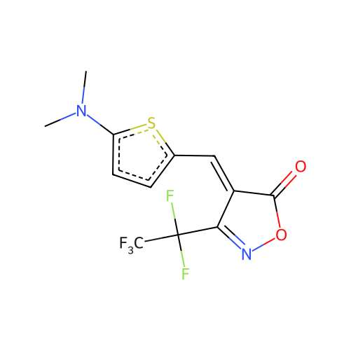 CN(C)c1ccc(C=C2C(=O)ON=C2C(F)(F)C(F)(F)F)s1